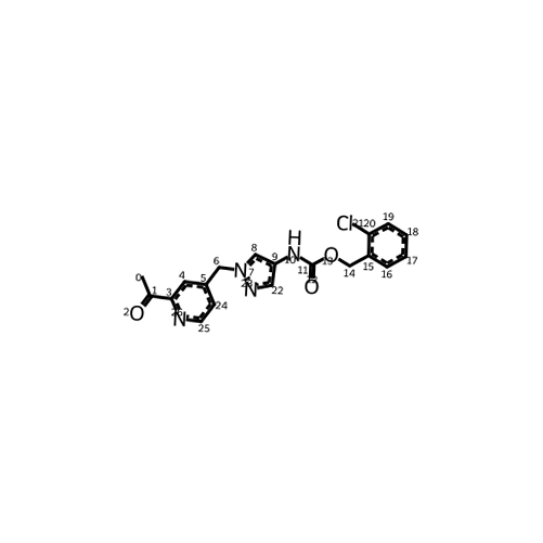 CC(=O)c1cc(Cn2cc(NC(=O)OCc3ccccc3Cl)cn2)ccn1